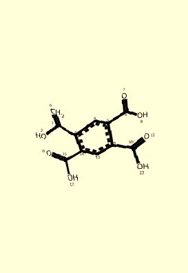 C=C(O)c1cc(C(=O)O)c(C(=O)O)cc1C(=O)O